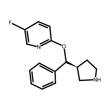 Fc1ccc(OC(c2ccccc2)[C@H]2CCNC2)nc1